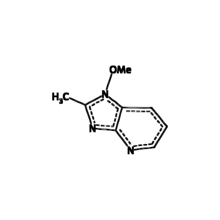 COn1c(C)nc2ncccc21